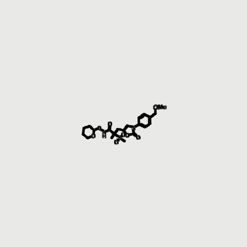 COCc1ccc(N2CC(CC(C)(C(=O)NOC3CCCCO3)S(C)(=O)=O)OC2=O)cc1